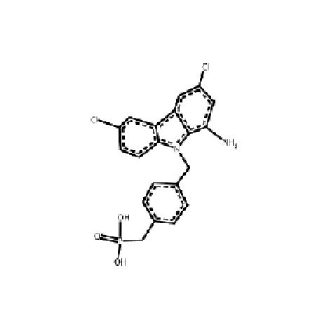 Nc1cc(Cl)cc2c3cc(Cl)ccc3n(Cc3ccc(CP(=O)(O)O)cc3)c12